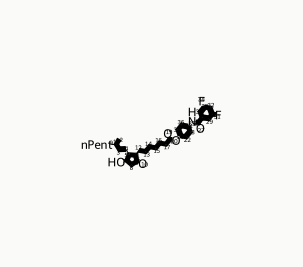 CCCCC[C@H](C)/C=C/[C@H]1[C@H](O)CC(=O)[C@@H]1CCCCCCC(=O)Oc1ccc(NC(=O)c2cc(F)cc(F)c2)cc1